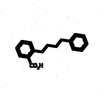 O=C(O)c1ccccc1CCCCc1ccccc1